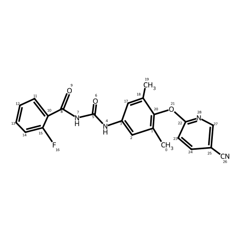 Cc1cc(NC(=O)NC(=O)c2ccccc2F)cc(C)c1Oc1ccc(C#N)cn1